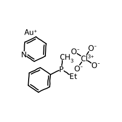 CCP(C)c1ccccc1.[Au+].[O-][Cl+3]([O-])([O-])[O-].c1ccncc1